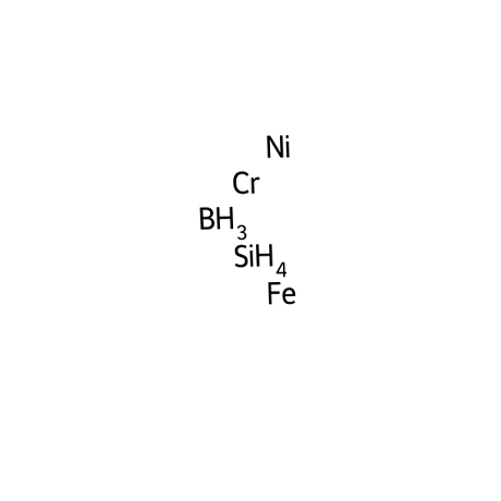 B.[Cr].[Fe].[Ni].[SiH4]